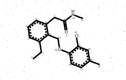 CCc1cccc(CC(=O)NC)c1COc1ccc(C)cc1Cl